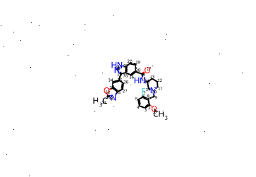 COc1cccc(F)c1CN1CCC[C@@H](NC(=O)c2ccc3[nH]nc(-c4ccc5nc(C)oc5c4)c3c2)C1